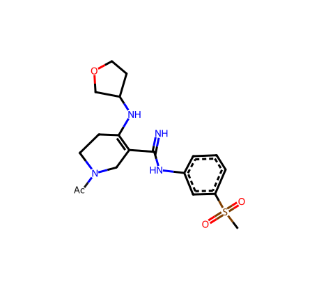 CC(=O)N1CCC(NC2CCOC2)=C(C(=N)Nc2cccc(S(C)(=O)=O)c2)C1